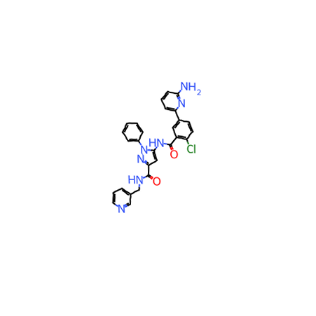 Nc1cccc(-c2ccc(Cl)c(C(=O)Nc3cc(C(=O)NCc4cccnc4)nn3-c3ccccc3)c2)n1